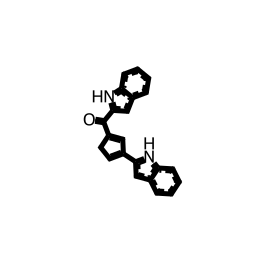 O=C(C1=CC(c2cc3ccccc3[nH]2)=CC1)c1cc2ccccc2[nH]1